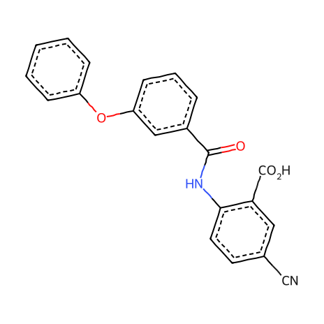 N#Cc1ccc(NC(=O)c2cccc(Oc3ccccc3)c2)c(C(=O)O)c1